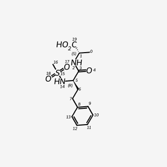 C[C@H](NC(=O)[C@@H](CCc1ccccc1)NS(C)(=O)=O)C(=O)O